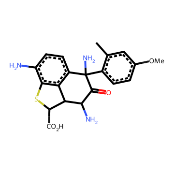 COc1ccc(C2(N)C(=O)C(N)C3c4c2ccc(N)c4SC3C(=O)O)c(C)c1